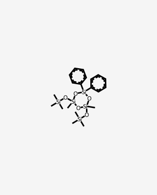 C[Si](C)(C)O[Si]1(C)O[Si](C)(O[Si](C)(C)C)O[Si](c2ccccc2)(c2ccccc2)O1